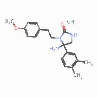 COc1ccc(CCN2C(=O)NCC2(N)c2ccc(C)c(C)c2)cc1.Cl